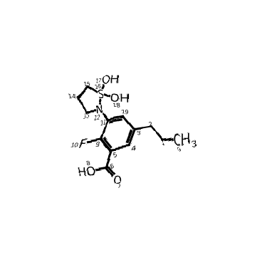 CCCc1cc(C(=O)O)c(F)c(N2CCCS2(O)O)c1